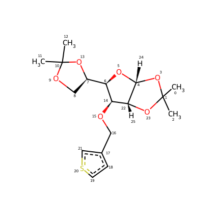 CC1(C)O[C@H]2O[C@H]([C@H]3COC(C)(C)O3)[C@H](OCc3ccsc3)[C@H]2O1